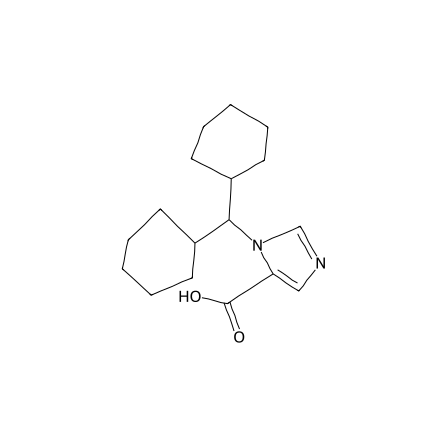 O=C(O)c1cncn1C(C1CCCCC1)C1CCCCC1